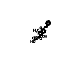 Cc1nc(C(=O)NCC(=O)O)c(O)c2ccn(CCc3ccccc3)c(=O)c12